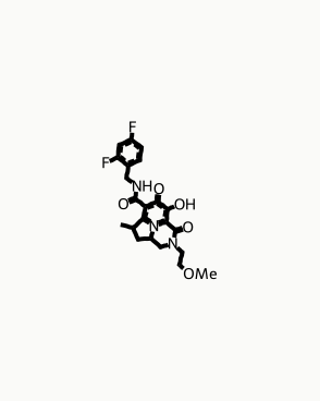 COCCN1CC2CC(C)c3c(C(=O)NCc4ccc(F)cc4F)c(=O)c(O)c(n32)C1=O